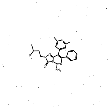 Cc1cc(-c2c(-c3ccccc3)nc(N)n3c(=O)n(CCC(F)F)nc23)cc(C)n1